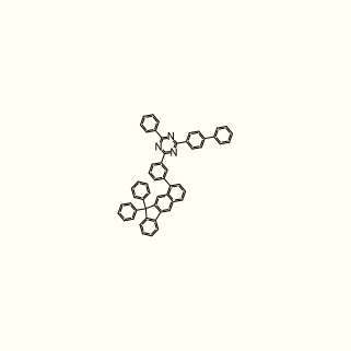 c1ccc(-c2ccc(-c3nc(-c4ccccc4)nc(-c4cccc(-c5cccc6cc7c(cc56)C(c5ccccc5)(c5ccccc5)c5ccccc5-7)c4)n3)cc2)cc1